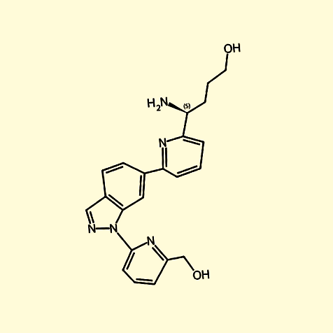 N[C@@H](CCCO)c1cccc(-c2ccc3cnn(-c4cccc(CO)n4)c3c2)n1